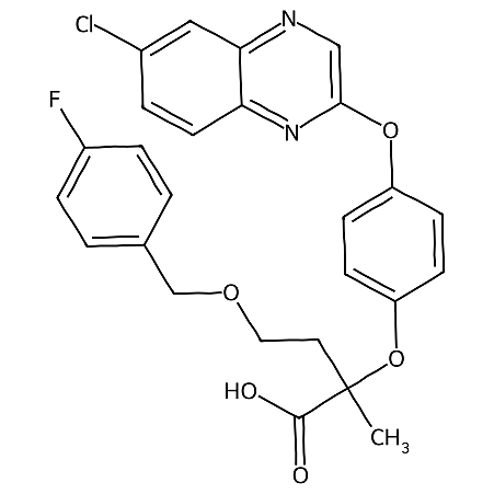 CC(CCOCc1ccc(F)cc1)(Oc1ccc(Oc2cnc3cc(Cl)ccc3n2)cc1)C(=O)O